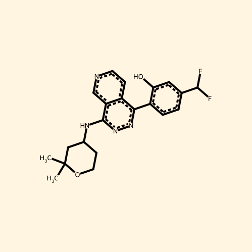 CC1(C)CC(Nc2nnc(-c3ccc(C(F)F)cc3O)c3ccncc23)CCO1